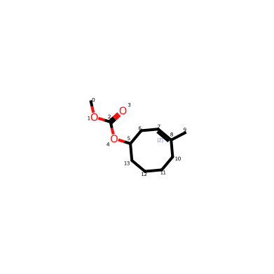 COC(=O)OC1C/C=C(/C)CCCC1